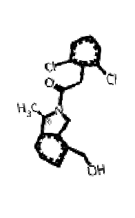 C[C@@H]1c2cccc(CO)c2CN1C(=O)Cc1c(Cl)cccc1Cl